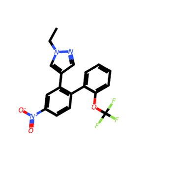 CCn1cc(-c2cc([N+](=O)[O-])ccc2-c2ccccc2OC(F)(F)F)cn1